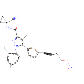 Cc1c(C(=O)NC2(C#N)CC2)nn(-c2ccc(Cl)cc2Cl)c1-c1ccc(C#CCCO[N+](=O)[O-])s1